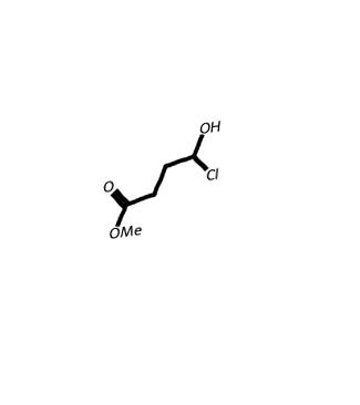 COC(=O)CCC(O)Cl